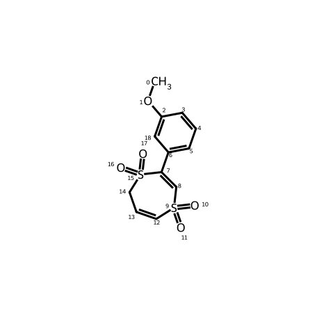 COc1cccc(C2=CS(=O)(=O)C=CCS2(=O)=O)c1